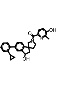 Cc1nc(C(=O)N2CCC3(CC(O)c4cc(-c5ccccc5C5CC5)ccc43)C2)ccc1O